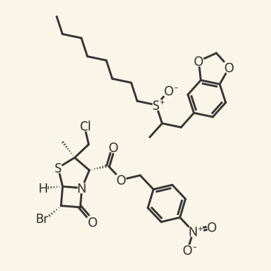 CCCCCCCC[S+]([O-])C(C)Cc1ccc2c(c1)OCO2.C[C@@]1(CCl)S[C@@H]2[C@@H](Br)C(=O)N2[C@H]1C(=O)OCc1ccc([N+](=O)[O-])cc1